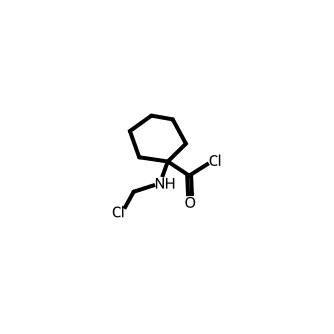 O=C(Cl)C1(NCCl)CCCCC1